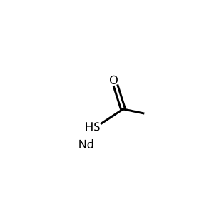 CC(=O)S.[Nd]